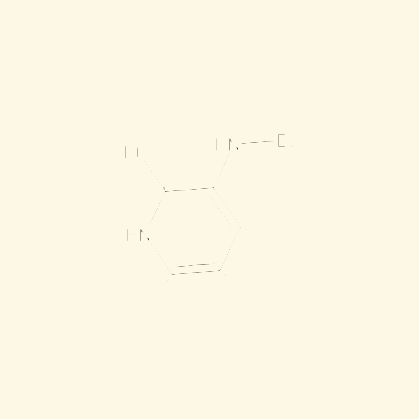 CCNC1=CC=CN[C]1CC